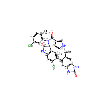 COc1cc2[nH]c(=O)[nH]c2cc1-c1cc2c(cc1Cl)NC(=O)C21c2c(c[nH]c2C(C)C)C(=O)N1c1cc(Cl)ccc1C